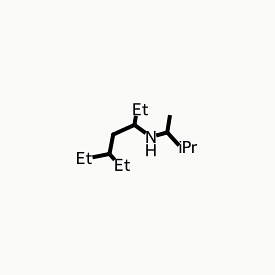 CCC(CC)CC(CC)NC(C)C(C)C